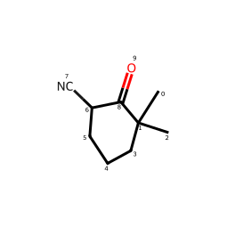 CC1(C)CCCC(C#N)C1=O